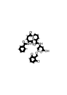 O=C(O)CC(/C=N/OCc1c(Cl)cccc1Cl)NC(=O)C1CCCN2C(=O)CCC(NC(=O)c3ccccc3)C(=O)N12